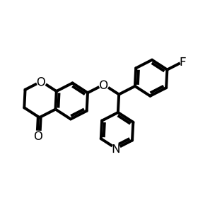 O=C1CCOc2cc(OC(c3ccncc3)c3ccc(F)cc3)ccc21